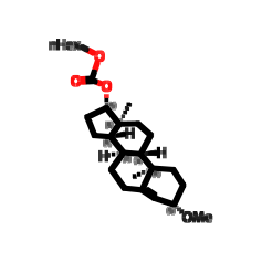 CCCCCCOC(=O)O[C@H]1CC[C@H]2[C@@H]3CCC4=C[C@@H](OC)CC[C@]4(C)[C@H]3CC[C@]12C